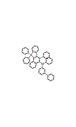 c1ccc(-c2cccc(N(c3ccccc3)c3c(-c4ccccc4)c4c(c5ccccc35)C(c3ccccc3)(c3ccccc3)c3ccccc3-4)c2)cc1